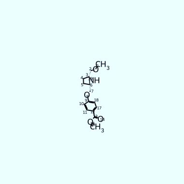 COC[C@H]1CC[C@@H](COc2ccc(C(=O)OC)cc2)N1